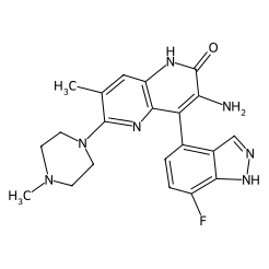 Cc1cc2[nH]c(=O)c(N)c(-c3ccc(F)c4[nH]ncc34)c2nc1N1CCN(C)CC1